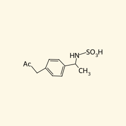 CC(=O)Cc1ccc(C(C)NS(=O)(=O)O)cc1